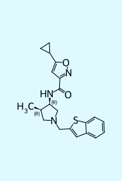 C[C@@H]1CN(Cc2cc3ccccc3s2)C[C@@H]1NC(=O)c1cc(C2CC2)on1